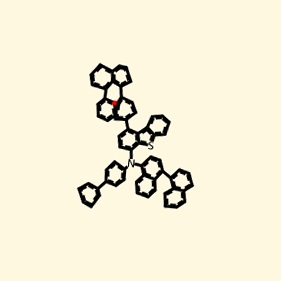 c1ccc(-c2ccc(N(c3ccc(-c4cccc5ccccc45)c4ccccc34)c3ccc(-c4ccc(-c5cccc6cccc(-c7ccccc7)c56)cc4)c4c3sc3ccccc34)cc2)cc1